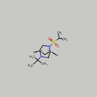 CC(C)S(=O)(=O)N1C[C@@H]2C[C@H]1CN2C(C)(C)C